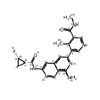 CNC(=O)c1cncc(-c2cc3cc(NC(=O)[C@@H]4C[C@@H]4F)ncc3c(N)n2)c1C